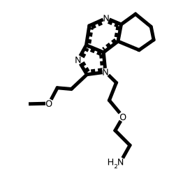 COCCc1nc2cnc3c(c2n1CCOCCN)CCCC3